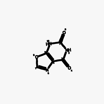 O=c1[nH]c(=O)c2ncoc2[nH]1